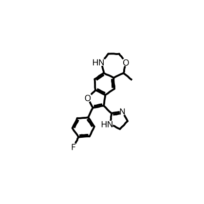 CC1OCCNc2cc3oc(-c4ccc(F)cc4)c(C4=NCCN4)c3cc21